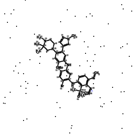 C=Nc1ccc(Nc2nc(Nc3cc(-c4cnn(C)c4)c(N4CCN(C)C(C)(C)C4)cc3OC)ncc2Br)c(P(C)(C)=O)c1/N=C\C